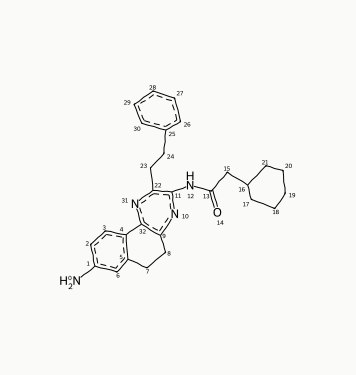 Nc1ccc2c(c1)CCc1nc(NC(=O)CC3CCCCC3)c(CCc3ccccc3)nc1-2